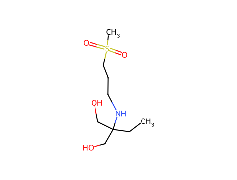 CCC(CO)(CO)NCCCS(C)(=O)=O